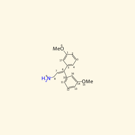 COc1cccc(C(=CCN)c2cccc(OC)c2)c1